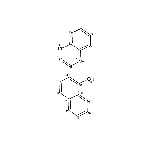 O=C(Nc1ccccc1Cl)c1ccc2cccnc2c1O